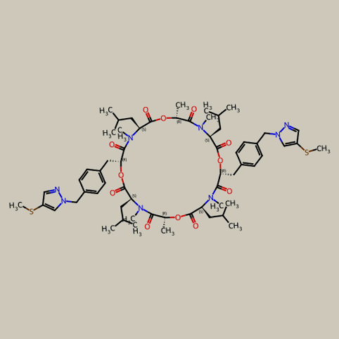 CSc1cnn(Cc2ccc(C[C@H]3OC(=O)[C@H](CC(C)C)N(C)C(=O)[C@@H](C)OC(=O)[C@H](CC(C)C)N(C)C(=O)[C@@H](Cc4ccc(Cn5cc(SC)cn5)cc4)OC(=O)[C@H](CC(C)C)N(C)C(=O)[C@@H](C)OC(=O)[C@H](CC(C)C)N(C)C3=O)cc2)c1